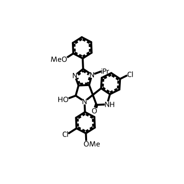 COc1ccc(N2C(O)c3nc(-c4ccccc4OC)n(C(C)C)c3C23C(=O)Nc2cc(Cl)ccc23)cc1Cl